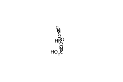 O=C(O)CN1CCc2cc(NC(=O)c3ccc(C=NN4CCCCC4)cc3)ccc2C1